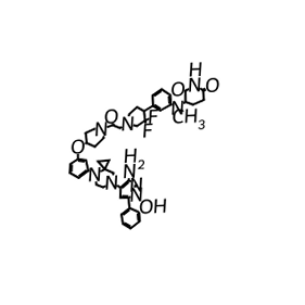 CN(c1cccc(C2CCN(CC(=O)N3CCC(Oc4cccc(N5CCN(c6cc(-c7ccccc7O)nnc6N)CC56CC6)c4)CC3)CC2(F)F)c1)C1CCC(=O)NC1=O